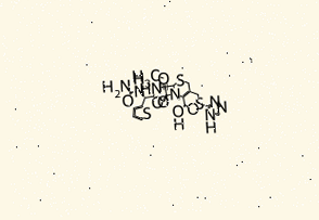 CO[C@@]1(NC(=O)C(NC(N)=O)c2cccs2)C(=O)N2C(C(=O)O)=C(CSc3nnc[nH]3)CSC21